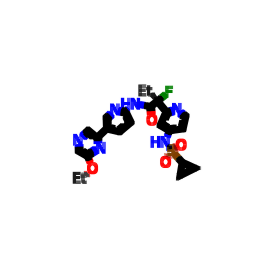 CCOc1cncc(-c2ccc(NC(=O)[C@@](F)(CC)c3cc(NS(=O)(=O)C4CC4)ccn3)nc2)n1